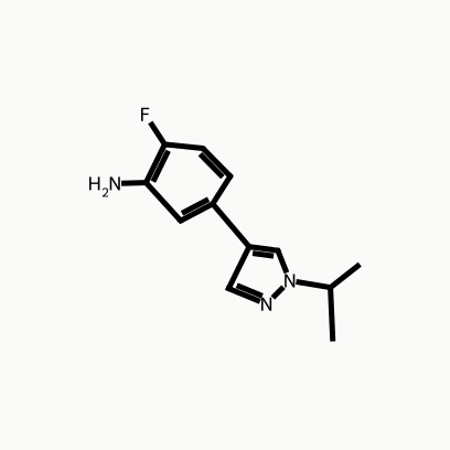 CC(C)n1cc(-c2ccc(F)c(N)c2)cn1